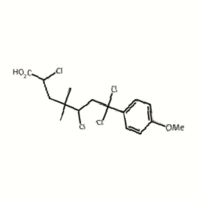 COc1ccc(C(Cl)(Cl)CC(Cl)C(C)(C)CC(Cl)C(=O)O)cc1